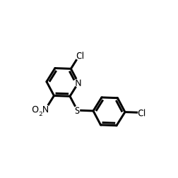 O=[N+]([O-])c1ccc(Cl)nc1Sc1ccc(Cl)cc1